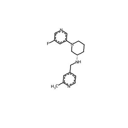 Cc1cc(CN[C@H]2CCCN(c3cncc(F)c3)C2)ccn1